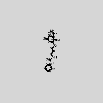 O=C(NCCCSC1=CC(=O)c2oncc2C1=O)Oc1ccccc1